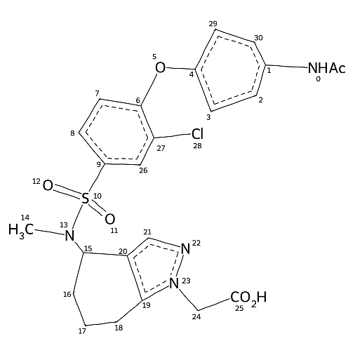 CC(=O)Nc1ccc(Oc2ccc(S(=O)(=O)N(C)C3CCCc4c3cnn4CC(=O)O)cc2Cl)cc1